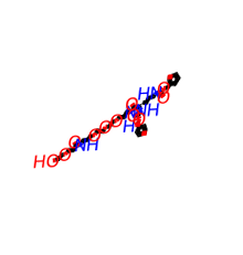 O=C(CCOCCO)NCCCOCCOCCOCCCNC(=O)[C@H](CCCCNC(=O)OCc1ccccc1)NC(=O)OCc1ccccc1